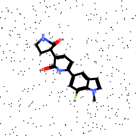 Cn1ccc2cc(-c3ccc(C4CCNC4=O)c(=O)[nH]3)cc(F)c21